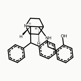 Oc1ccccc1CN[C@@H]1C2CCN(CC2)[C@H]1C(c1ccccc1)c1ccccc1